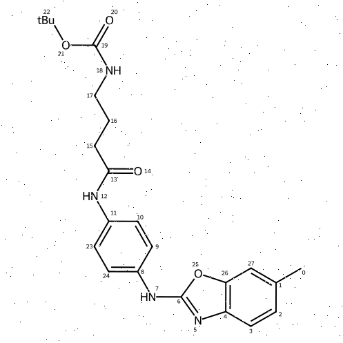 Cc1ccc2nc(Nc3ccc(NC(=O)CCCNC(=O)OC(C)(C)C)cc3)oc2c1